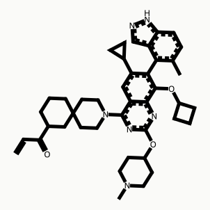 C=CC(=O)C1CCCC2(CCN(c3nc(OC4CCN(C)CC4)nc4c(OC5CCC5)c(-c5c(C)ccc6[nH]ncc56)c(C5CC5)cc34)CC2)C1